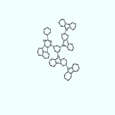 c1ccc(-c2nc(-c3cc(-n4c5ccccc5c5cc(-n6c7ccccc7c7ccccc76)ccc54)cc(-n4c5ccccc5c5cc(-n6c7ccccc7c7ccccc76)ccc54)c3)c3c(n2)-c2cccc4cccc-3c24)cc1